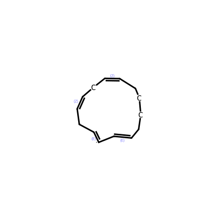 [C]1=C/C/C=C\C/C=C\CCCC/C=C/1